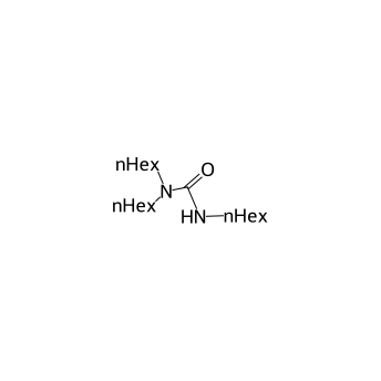 CCCCCCNC(=O)N(CCCCCC)CCCCCC